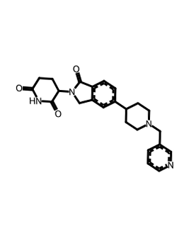 O=C1CCC(N2Cc3cc(C4CCN(Cc5cccnc5)CC4)ccc3C2=O)C(=O)N1